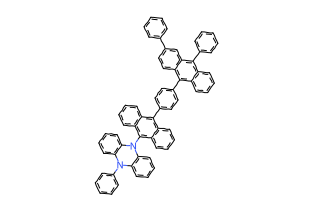 c1ccc(-c2ccc3c(-c4ccc(-c5c6ccccc6c(N6c7ccccc7N(c7ccccc7)c7ccccc76)c6ccccc56)cc4)c4ccccc4c(-c4ccccc4)c3c2)cc1